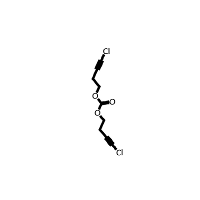 O=C(OCCC#CCl)OCCC#CCl